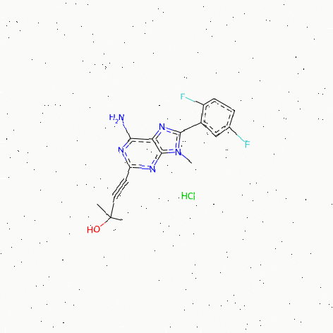 Cl.Cn1c(-c2cc(F)ccc2F)nc2c(N)nc(C#CC(C)(C)O)nc21